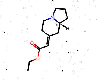 CCOC(=O)C=C1CCN2CCC[C@@H]2C1